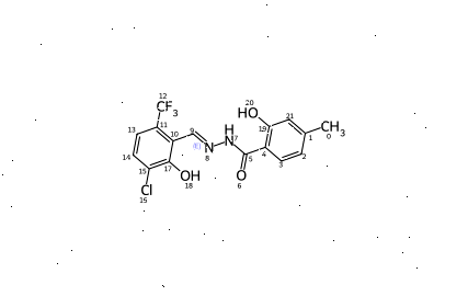 Cc1ccc(C(=O)N/N=C/c2c(C(F)(F)F)ccc(Cl)c2O)c(O)c1